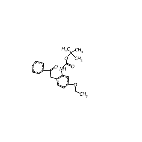 CCOc1ccc(CC(=O)c2ccccc2)c(NC(=O)OC(C)(C)C)c1